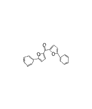 O=C(c1ccc(-c2ccccc2)o1)c1ccc(-c2ccccc2)o1